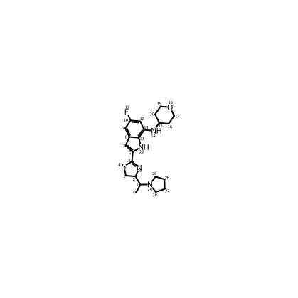 CC(C1CSC(c2cc3cc(F)cc(NC4CCOCC4)c3[nH]2)=N1)N1CCCC1